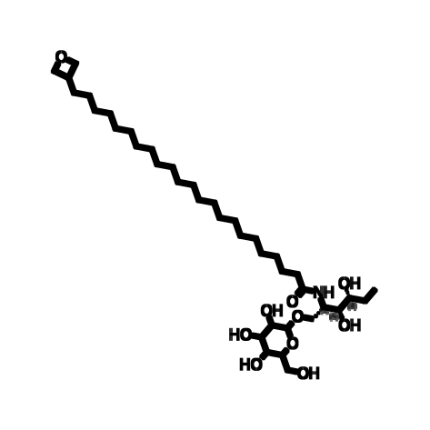 CC[C@@H](O)[C@@H](O)[C@H](COC1OC(CO)C(O)C(O)C1O)NC(=O)CCCCCCCCCCCCCCCCCCCCCCC1COC1